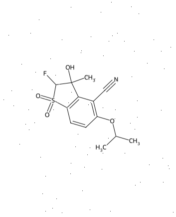 CC(C)Oc1ccc2c(c1C#N)C(C)(O)C(F)S2(=O)=O